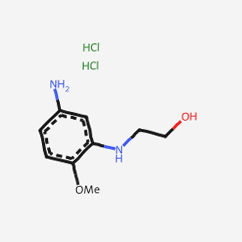 COc1ccc(N)cc1NCCO.Cl.Cl